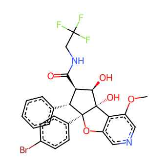 COc1cncc2c1[C@]1(O)[C@H](O)[C@H](C(=O)NCC(F)(F)F)[C@@H](c3ccccc3)[C@]1(c1ccc(Br)cc1)O2